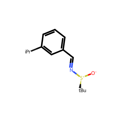 CC(C)c1cccc(C=N[S@@+]([O-])C(C)(C)C)c1